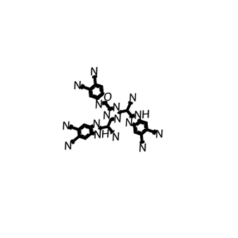 N#Cc1cc2nc(C(C#N)c3nc(-c4nc5cc(C#N)c(C#N)cc5o4)nc(C(C#N)c4nc5cc(C#N)c(C#N)cc5[nH]4)n3)[nH]c2cc1C#N